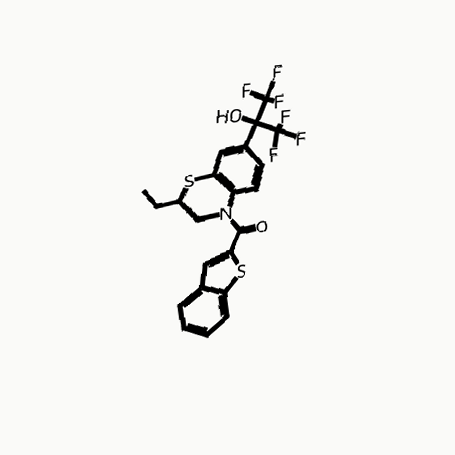 CCC1CN(C(=O)c2cc3ccccc3s2)c2ccc(C(O)(C(F)(F)F)C(F)(F)F)cc2S1